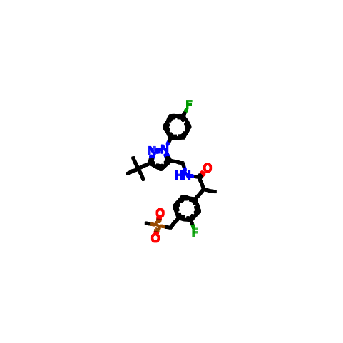 CC(C(=O)NCc1cc(C(C)(C)C)nn1-c1ccc(F)cc1)c1ccc(CS(C)(=O)=O)c(F)c1